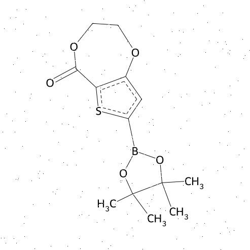 CC1(C)OB(c2cc3c(s2)C(=O)OCCO3)OC1(C)C